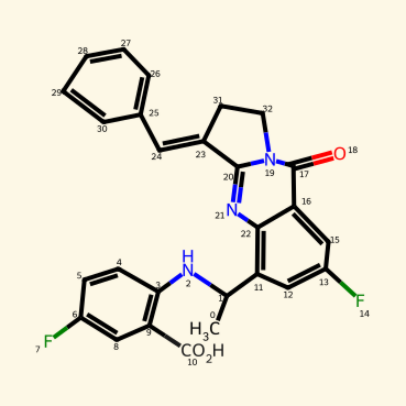 CC(Nc1ccc(F)cc1C(=O)O)c1cc(F)cc2c(=O)n3c(nc12)C(=Cc1ccccc1)CC3